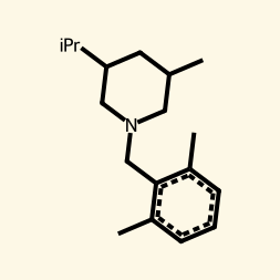 Cc1cccc(C)c1CN1CC(C)CC(C(C)C)C1